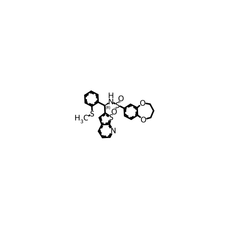 CSc1ccccc1[C@@H](NS(=O)(=O)c1ccc2c(c1)OCCCO2)c1cc2cccnc2s1